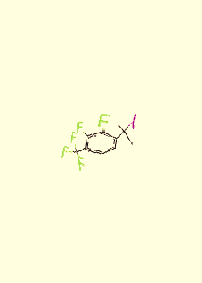 CC(C)(I)c1ccc(C(F)(F)F)c(F)c1F